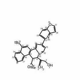 C=C(CO)C1C(COC)c2c(cc(C(C)(C)C)c3ccccc23)-c2cc(-c3ccc4occc4n3)cc[n+]21